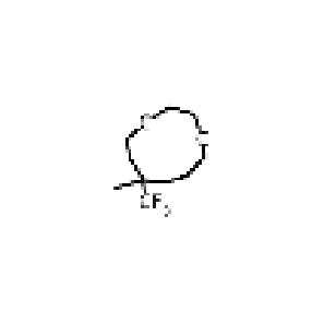 CC1(C(F)(F)F)CCCCCCCCC1